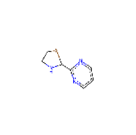 c1cnc(C2NCCS2)nc1